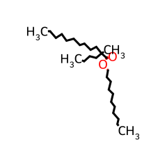 CCCCCCCCCCCOC(=O)C(C)(CCCC)CCCCCCCCCC